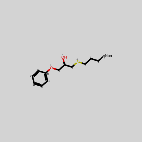 CCCCCCCCCCCCSCC(O)COc1ccccc1